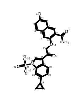 NC(=O)c1cc2cc(Cl)ccc2cc1OCC(=O)c1cn(P(=O)(O)O)c2cc(C3CC3)ccc12